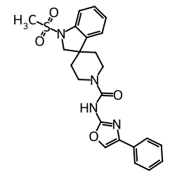 CS(=O)(=O)N1CC2(CCN(C(=O)Nc3nc(-c4ccccc4)co3)CC2)c2ccccc21